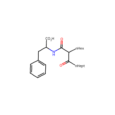 CCCCCCCC(=O)C(CCCCCC)C(=O)NC(Cc1ccccc1)C(=O)O